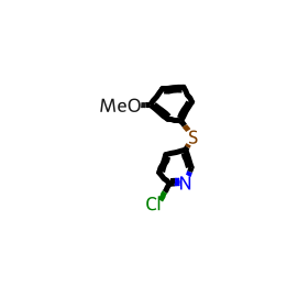 COc1cccc(Sc2ccc(Cl)nc2)c1